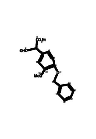 CCOC(=O)C(C=O)c1ccc(OCc2ccccc2)c(OC)c1